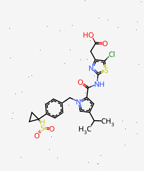 CC(C)c1cc(C(=O)Nc2nc(CC(=O)O)c(Cl)s2)n(Cc2ccc(C3([SH](=O)=O)CC3)cc2)c1